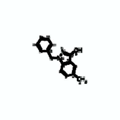 Cc1ccc2c(c1)c(O)nn2Cc1ccccc1